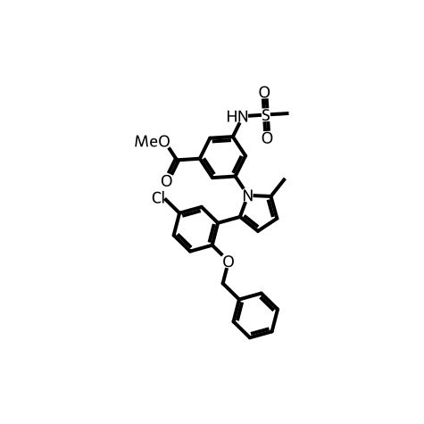 COC(=O)c1cc(NS(C)(=O)=O)cc(-n2c(C)ccc2-c2cc(Cl)ccc2OCc2ccccc2)c1